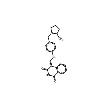 CC1CCCN1Cc1ccc(N/C=C2/C(=O)NC(=O)c3ccccc32)cc1